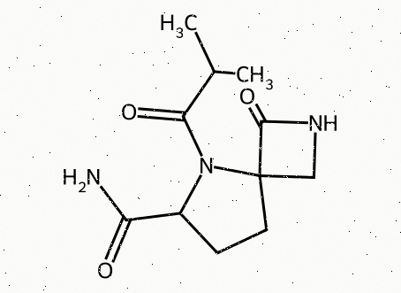 CC(C)C(=O)N1C(C(N)=O)CCC12CNC2=O